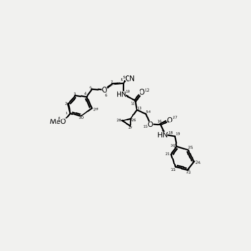 COc1ccc(COCC(C#N)NC(=O)C(COC(=O)NCc2ccccc2)C2CC2)cc1